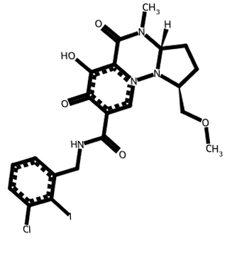 COC[C@@H]1CC[C@H]2N(C)C(=O)c3c(O)c(=O)c(C(=O)NCc4cccc(Cl)c4I)cn3N12